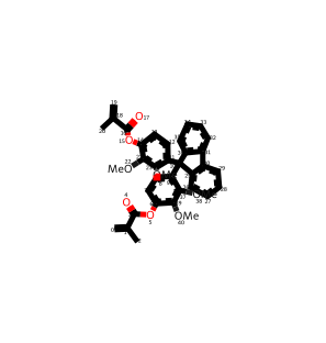 C=C(C)C(=O)Oc1ccc(C2(c3ccc(OC(=O)C(=C)C)c(OC)c3OC)c3ccccc3-c3ccccc32)c(OC)c1OC